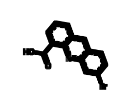 O=C(O)c1cccc2cc3ccc(Br)cc3nc12